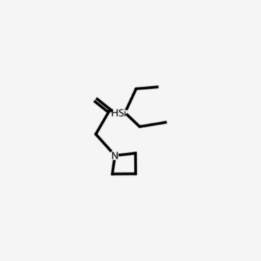 C=C(CN1CCC1)[SiH](CC)CC